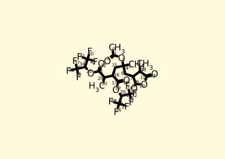 CC(=O)OC(C)(CC1C(=O)OC(=O)C1C)CC(C(=O)OC(C(F)(F)F)C(F)(F)F)C(C)C(=O)OC(C(F)(F)F)C(F)(F)F